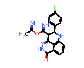 CC(=N)OC(=N)C1c2n[nH]c(=O)c3cccc(c23)NC1c1ccc(F)cc1